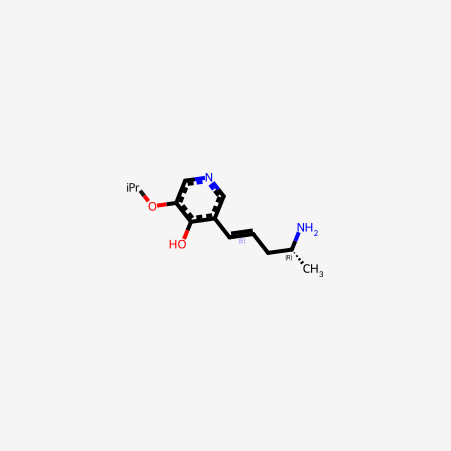 CC(C)Oc1cncc(/C=C/C[C@@H](C)N)c1O